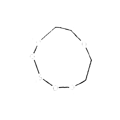 C1COOSOOCCO1